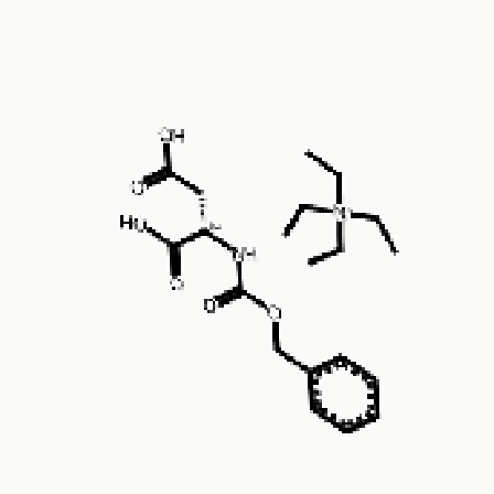 CC[N+](CC)(CC)CC.O=C(O)C[C@H](NC(=O)OCc1ccccc1)C(=O)O